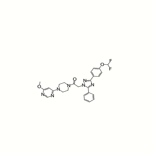 COc1cc(N2CCN(C(=O)Cn3nc(-c4ccc(OC(F)F)cc4)nc3-c3ccccc3)CC2)ncn1